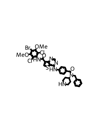 COc1c(Cl)c(NC(=O)c2csc3c(Nc4ccc(C(=O)N(Cc5ccccc5)C5CCNCC5)cc4)ncnc23)c(Cl)c(OC)c1Br